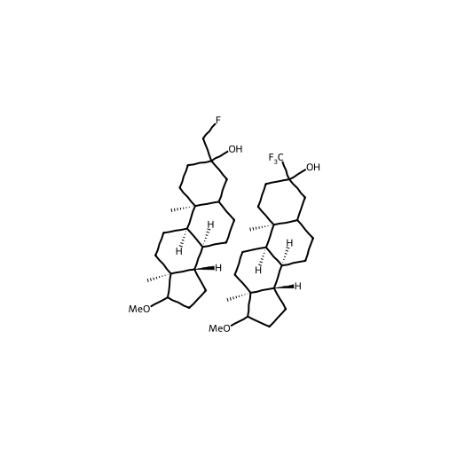 COC1CC[C@H]2[C@@H]3CCC4CC(O)(C(F)(F)F)CC[C@]4(C)[C@@H]3CC[C@]12C.COC1CC[C@H]2[C@@H]3CCC4CC(O)(CF)CC[C@]4(C)[C@@H]3CC[C@]12C